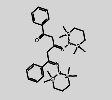 C[Si]1(C)CCC[Si](C)(C)N1N=C(CC(=O)c1ccccc1)CC(=NN1[Si](C)(C)CCC[Si]1(C)C)c1ccccc1